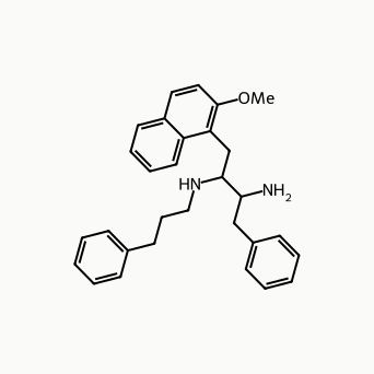 COc1ccc2ccccc2c1CC(NCCCc1ccccc1)C(N)Cc1ccccc1